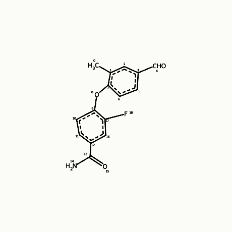 Cc1cc(C=O)ccc1Oc1ccc(C(N)=O)cc1F